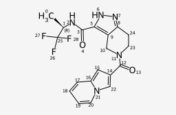 C[C@@H](NC(=O)c1[nH]nc2c1CN(C(=O)c1cc3ccccn3c1)CC2)C(F)(F)F